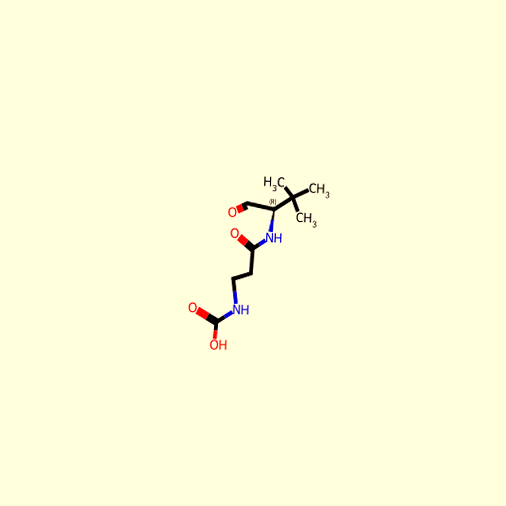 CC(C)(C)[C@H](C=O)NC(=O)CCNC(=O)O